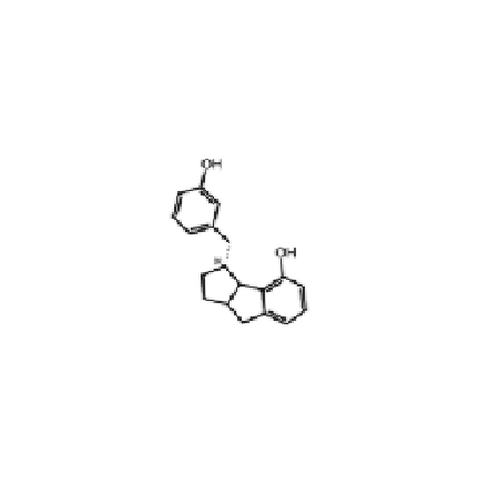 Oc1cccc(C[C@H]2CCC3Cc4cccc(O)c4C32)c1